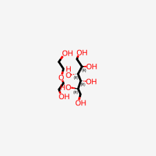 OCCOCCO.OC[C@@H](O)[C@@H](O)[C@H](O)[C@H](O)CO